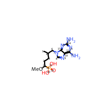 COC(CCC(C)Cn1cnc2c(N)nc(N)nc21)P(=O)(O)O